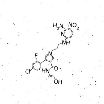 C[C@@H](CO)NC(=O)c1cn(CCCNc2ccc([N+](=O)[O-])c(N)n2)cc1-c1ccc(Cl)cc1F